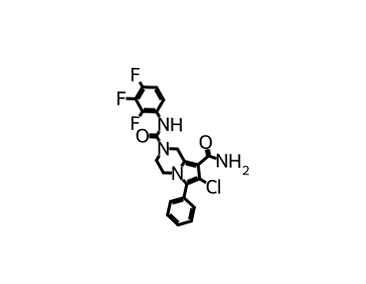 NC(=O)c1c(Cl)c(-c2ccccc2)n2c1CN(C(=O)Nc1ccc(F)c(F)c1F)CC2